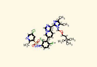 Cc1ncc(Cl)cc1S(=O)(=O)Nc1ccc(F)c(-c2ccc3c(-c4nc(C)c(C)n4COCC[Si](C)(C)C)ncn3c2)c1F